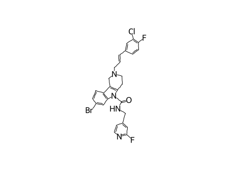 O=C(NCc1ccnc(F)c1)n1c2c(c3ccc(Br)cc31)CN(CC=Cc1ccc(F)c(Cl)c1)CC2